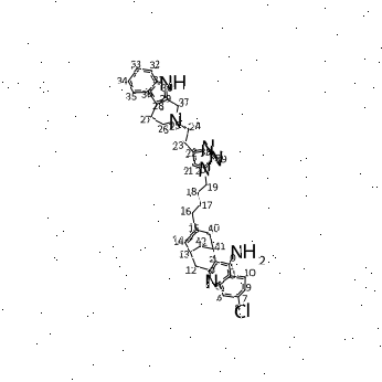 Nc1c2c(nc3cc(Cl)ccc13)CC1C=C(CCCCn3cc(CCN4CCc5c([nH]c6ccccc56)C4)nn3)CC2C1